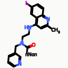 CCCCCCCCCC(=O)N(CCNc1cc(C)nc2ccc(I)cc12)Cc1cccnc1